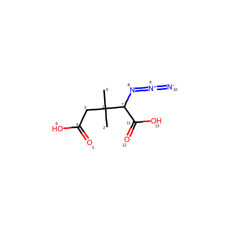 CC(C)(CC(=O)O)C(N=[N+]=[N-])C(=O)O